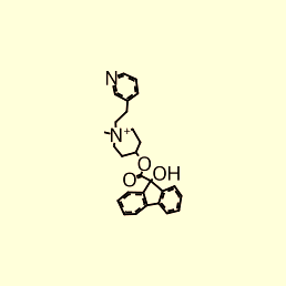 C[N+]1(CCc2cccnc2)CCC(OC(=O)C2(O)c3ccccc3-c3ccccc32)CC1